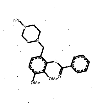 CCCN1CCN(Cc2ccc(OC)c(OC)c2OC(=O)c2ccccc2)CC1